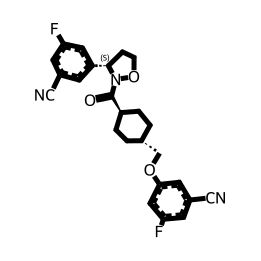 N#Cc1cc(F)cc(OC[C@H]2CC[C@H](C(=O)N3OCC[C@H]3c3cc(F)cc(C#N)c3)CC2)c1